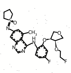 Cc1cc(N=S2(=O)CCCC2)cc2ncnc(Nc3ccc(F)cc3O[C@H]3COC[C@H]3OCCF)c12